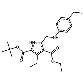 CCOC(=O)c1c(CNc2ccc(CC)cc2)[nH]c(C(=O)OC(C)(C)C)c1CC